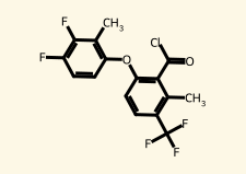 Cc1c(Oc2ccc(C(F)(F)F)c(C)c2C(=O)Cl)ccc(F)c1F